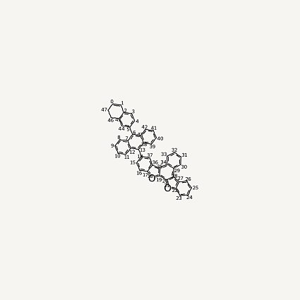 C1=Cc2ccc(-c3c4ccccc4c(-c4ccc5oc6c7oc8ccccc8c7c7ccccc7c6c5c4)c4ccccc34)cc2CC1